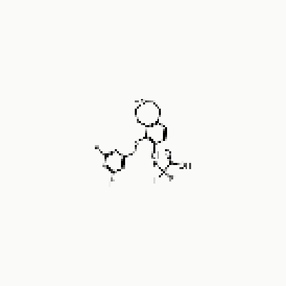 Fc1cc(F)cc(CSc2c(Cl)ccc3c2CCNCC3)c1.O=C(O)C(F)(F)F